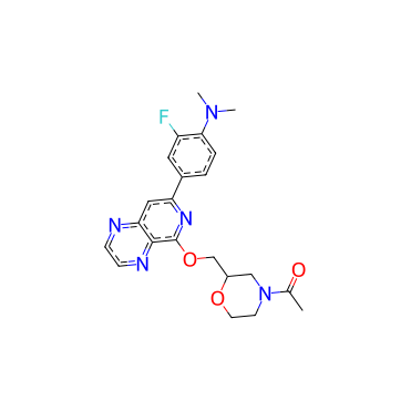 CC(=O)N1CCOC(COc2nc(-c3ccc(N(C)C)c(F)c3)cc3nccnc23)C1